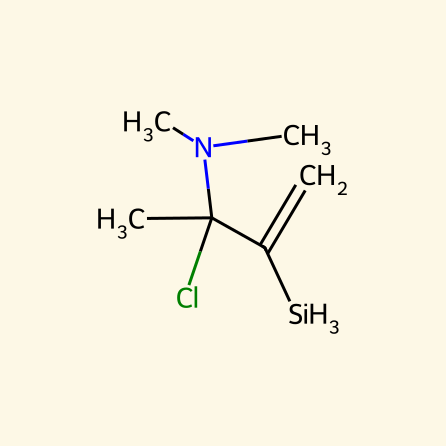 C=C([SiH3])C(C)(Cl)N(C)C